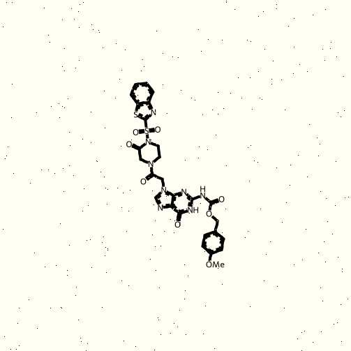 COc1ccc(COC(=O)Nc2nc3c(ncn3CC(=O)N3CCN(S(=O)(=O)c4nc5ccccc5s4)C(=O)C3)c(=O)[nH]2)cc1